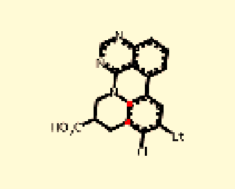 CCc1cc(-c2cccc3ncnc(N4CCCC(C(=O)O)C4)c23)ccc1Cl